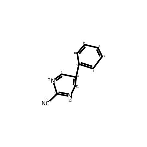 N#Cc1ncc(-c2ccccc2)cn1